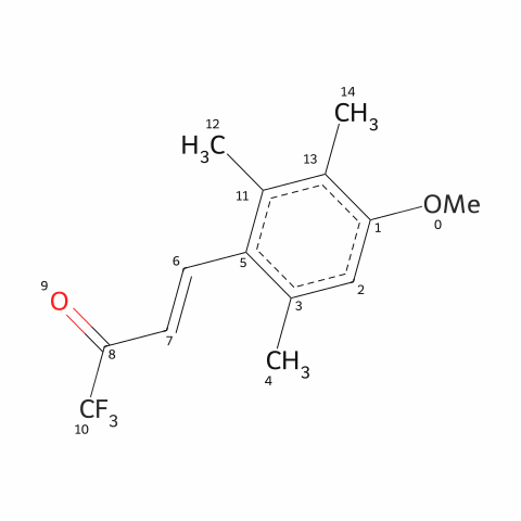 COc1cc(C)c(/C=C/C(=O)C(F)(F)F)c(C)c1C